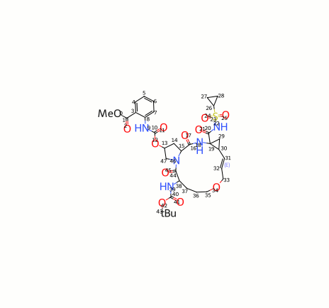 COC(=O)c1ccccc1NC(=O)OC1CC2C(=O)NC3(C(=O)NS(=O)(=O)C4CC4)CC3/C=C/COCCCC(NC(=O)OC(C)(C)C)C(=O)N2C1